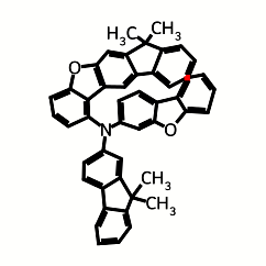 CC1(C)c2ccccc2-c2ccc(N(c3ccc4c(c3)oc3ccccc34)c3cccc4oc5cc6c(cc5c34)-c3ccccc3C6(C)C)cc21